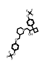 OC(CN1CCCC(COc2ccc(OC(F)(F)F)cc2)C1)C1(c2ccc(OC(F)(F)F)cc2)CCC1